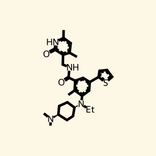 CCN(c1cc(-c2cccs2)cc(C(=O)NCc2c(C)cc(C)[nH]c2=O)c1C)[C@H]1CC[C@H](N(C)C)CC1